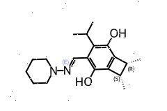 CC(C)c1c(O)c2c(c(O)c1/C=N/N1CCCCC1)[C@@H](C)[C@H]2C